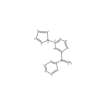 C=C(c1ccccc1)c1cccc(-n2cccc2)c1